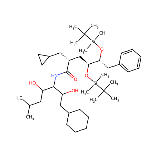 CC(C)CC(O)C(NC(=O)[C@H](CC1CC1)C[C@H](O[Si](C)(C)C(C)(C)C)[C@@H](Cc1ccccc1)O[Si](C)(C)C(C)(C)C)C(O)CC1CCCCC1